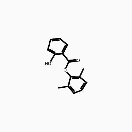 Cc1cccc(C)c1OC(=O)c1ccccc1O